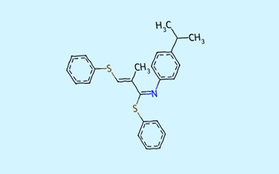 CC(=C\Sc1ccccc1)/C(=N\c1ccc(C(C)C)cc1)Sc1ccccc1